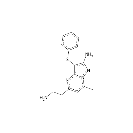 Cc1cc(CCN)nc2c(Sc3ccccc3)c(N)nn12